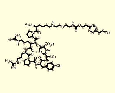 CC(=O)NC(CCCCNCCOCCNC(=O)OCCc1nnc(CCO)nn1)C(=O)N1CCCC1C(=O)N(C)C(CCCNC(=N)N)C(=O)NC(CCCNC(=N)N)C(=O)N1CCCC1C(=O)NC(Cc1ccc(O)cc1)C(=O)NC(C(=O)NC(CC(C)C)C(=O)O)C(C)(C)C